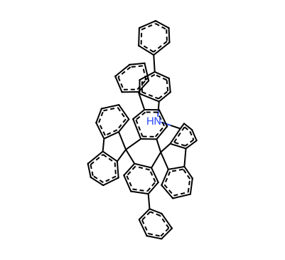 c1ccc(-c2ccc(Nc3cccc4c3C3(c5ccccc5-4)c4ccc(-c5ccccc5)cc4C4(c5ccccc5-c5ccccc54)c4ccc(-c5ccccc5)cc43)cc2)cc1